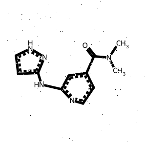 CN(C)C(=O)c1ccnc(Nc2cc[nH]n2)c1